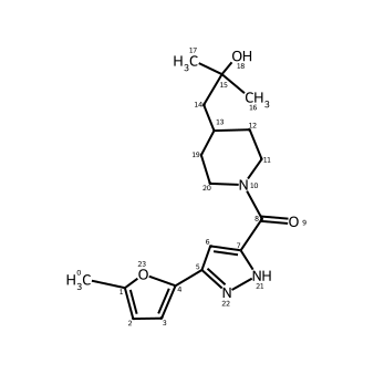 Cc1ccc(-c2cc(C(=O)N3CCC(CC(C)(C)O)CC3)[nH]n2)o1